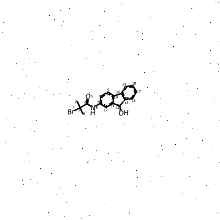 CC(C)(Br)C(=O)Nc1ccc2c(c1)C(O)c1ccccc1-2